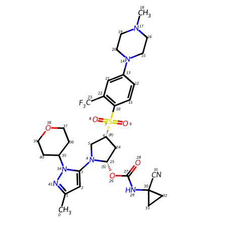 Cc1cc(N2C[C@H](S(=O)(=O)c3ccc(N4CCN(C)CC4)cc3C(F)(F)F)C[C@@H]2OC(=O)NC2(C#N)CC2)n(C2CCOCC2)n1